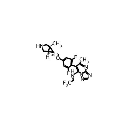 Cc1nc2ncnn2c(NCC(F)(F)F)c1-c1c(F)cc(OC[C@@H]2[C@@H]3CNC[C@@]23C)cc1F